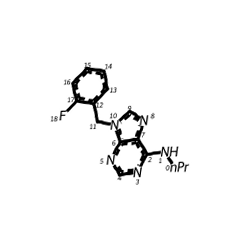 CCCNc1ncnc2c1ncn2Cc1ccccc1F